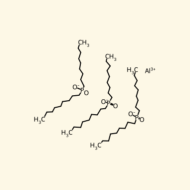 CCCCCCCCCP(=O)([O-])CCCCCCCCC.CCCCCCCCCP(=O)([O-])CCCCCCCCC.CCCCCCCCCP(=O)([O-])CCCCCCCCC.[Al+3]